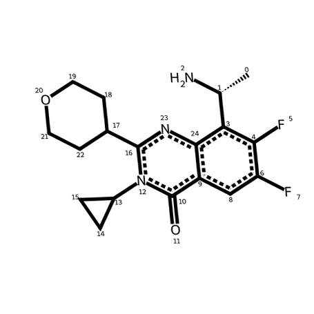 C[C@@H](N)c1c(F)c(F)cc2c(=O)n(C3CC3)c(C3CCOCC3)nc12